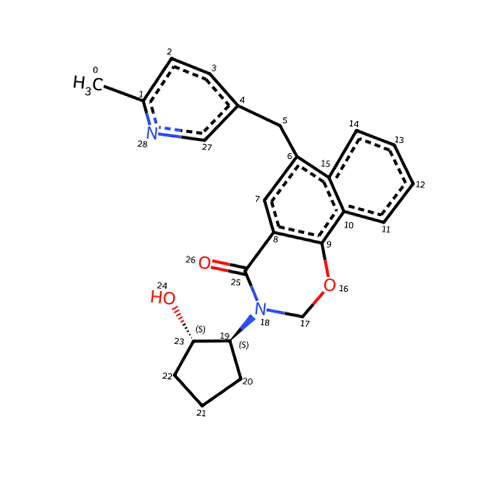 Cc1ccc(Cc2cc3c(c4ccccc24)OCN([C@H]2CCC[C@@H]2O)C3=O)cn1